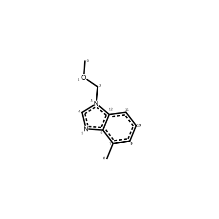 COCn1cnc2c(C)cccc21